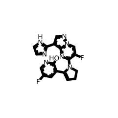 Oc1ncc(F)cc1C1=CCCN1c1nc2c(-c3ncc[nH]3)cnn2cc1F